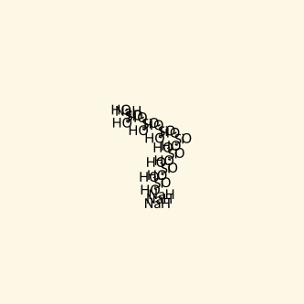 O=[Si](O)O.O=[Si](O)O.O=[Si](O)O.O=[Si](O)O.O=[Si](O)O.O=[Si](O)O.O=[Si](O)O.[NaH].[NaH].[NaH].[NaH]